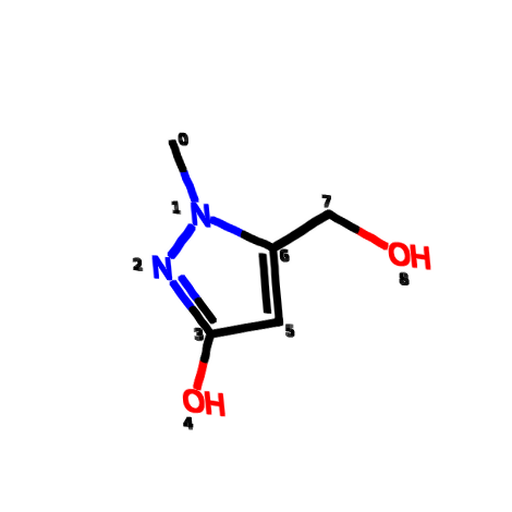 Cn1nc(O)cc1CO